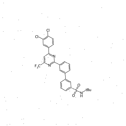 CC(C)(C)NS(=O)(=O)c1cccc(-c2cccc(-c3nc(-c4ccc(Cl)c(Cl)c4)cc(C(F)(F)F)n3)c2)c1